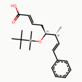 C[C@H](C=Cc1ccccc1)[C@H](CC=CC(=O)O)O[Si](C)(C)C(C)(C)C